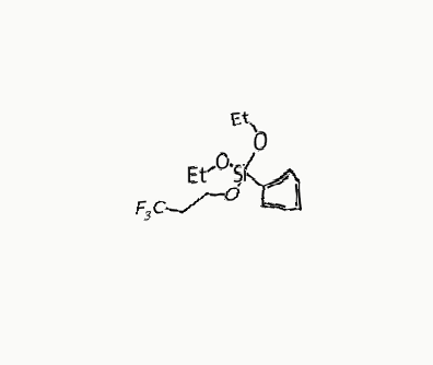 CCO[Si](OCC)(OCCC(F)(F)F)c1ccccc1